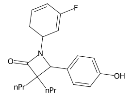 CCCC1(CCC)C(=O)N(C2C=C(F)C=CC2)C1c1ccc(O)cc1